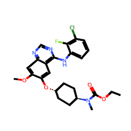 CCOC(=O)N(C)[C@H]1CC[C@H](Oc2cc3c(Nc4cccc(Cl)c4F)ncnc3cc2OC)CC1